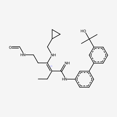 CC/C(C(=N)Nc1cccc(-c2cccc(C(C)(C)O)c2)c1)=C(\CCNC=O)NCC1CC1